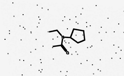 [CH2]CN(C(C)=O)C1CCCC1